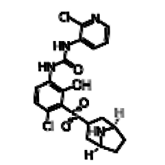 O=C(Nc1cccnc1Cl)Nc1ccc(Cl)c(S(=O)(=O)C2C[C@H]3CC[C@@H](C2)N3)c1O